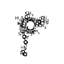 CC[C@H]1OC(=O)[C@H](C)[C@@H](O[C@H]2C[C@@](C)(OC)[C@@H](O)[C@H](C)O2)[C@H](C)[C@@H](O[C@@H]2O[C@H](C)C[C@H](N(C)CCc3cn(C[C@H]4CN(c5ccc(-c6ccc(CNCc7ccnc8ccccc78)cc6)c(F)c5)C(=O)O4)nn3)[C@H]2O)[C@](C)(O)C[C@@H](C)CN(C)[C@H](C)[C@@H](O)[C@]1(C)O